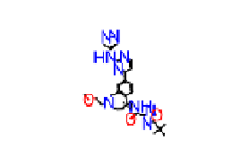 COCCN1CC[C@@H](NC(=O)c2noc(C(C)(C)C)n2)c2ccc(-c3ccnc(Nc4cnn(C)c4)n3)cc2C1